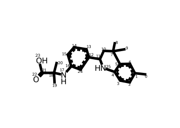 Cc1ccc2c(c1)C(C)(C)CC(c1cccc(NC(C)(C)C(=O)O)c1)N2